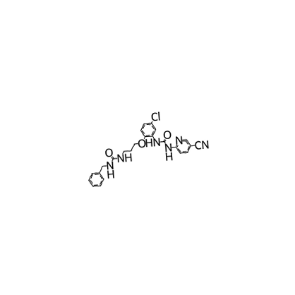 N#Cc1ccc(NC(=O)Nc2cc(Cl)ccc2OCCCNC(=O)NCc2ccccc2)nc1